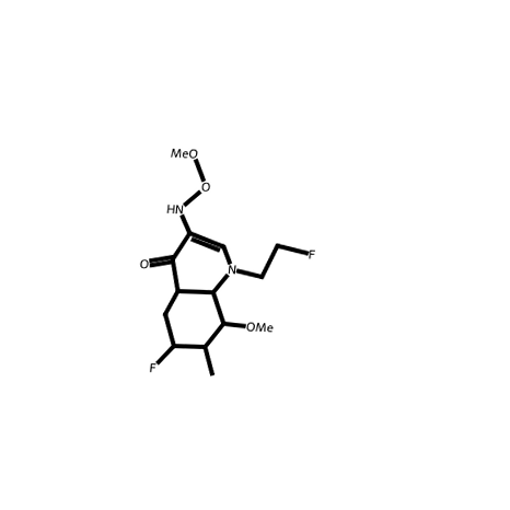 COONC1=CN(CCF)C2C(CC(F)C(C)C2OC)C1=O